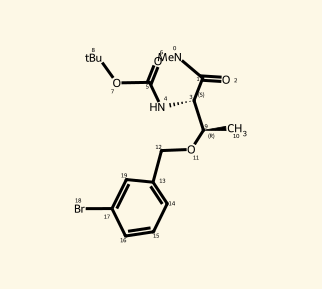 CNC(=O)[C@@H](NC(=O)OC(C)(C)C)[C@@H](C)OCc1cccc(Br)c1